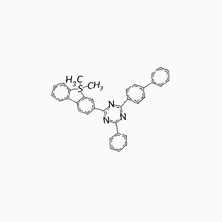 CS1(C)c2ccccc2-c2ccc(-c3nc(-c4ccccc4)nc(-c4ccc(-c5ccccc5)cc4)n3)cc21